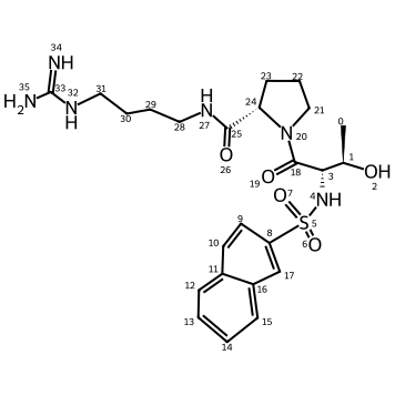 C[C@@H](O)[C@H](NS(=O)(=O)c1ccc2ccccc2c1)C(=O)N1CCC[C@H]1C(=O)NCCCCNC(=N)N